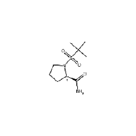 CC(C)(C)S(=O)(=O)N1CCC[C@@H]1C(N)=O